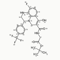 CC(C)(C)OC(=O)CNC(=O)C1=C(O)c2ccc(F)c3c2N(C1)C(c1ccc(C(F)(F)F)cc1)CN3